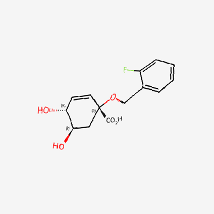 O=C(O)[C@]1(OCc2ccccc2F)C=C[C@@H](O)[C@H](O)C1